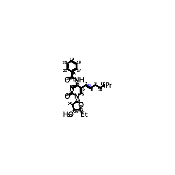 CC[C@H]1O[C@@H](n2cc(/C=C/CCC(C)C)c(NC(=O)c3ccccc3)nc2=O)CC1O